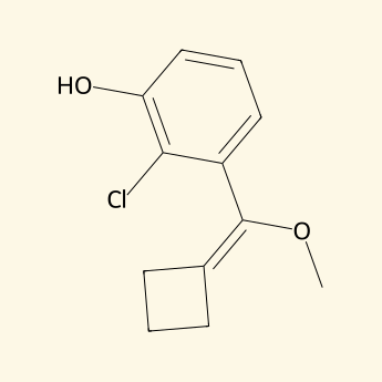 COC(=C1CCC1)c1cccc(O)c1Cl